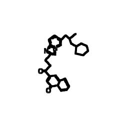 CC(Cc1ccc2nc(CCC(=O)C3=CC(=O)C4C=CC=CC4=C3)cn2c1)CC1CCCCC1